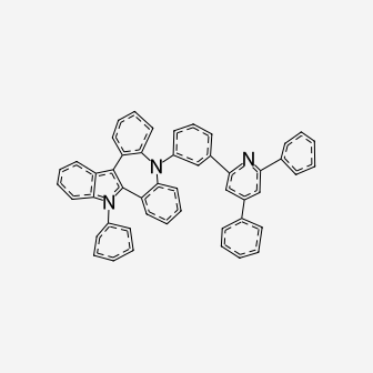 c1ccc(-c2cc(-c3ccccc3)nc(-c3cccc(N4c5ccccc5-c5c(n(-c6ccccc6)c6ccccc56)-c5ccccc54)c3)c2)cc1